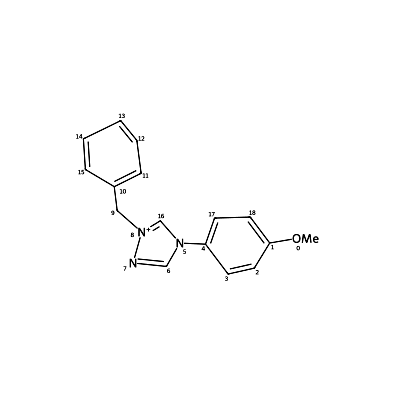 COc1ccc(-n2cn[n+](Cc3ccccc3)c2)cc1